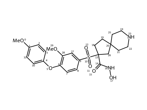 COc1ccc(Oc2ccc(S(=O)(=O)C3(C(=O)NO)CCC4(CCNCC4)C3)cc2OC)cc1